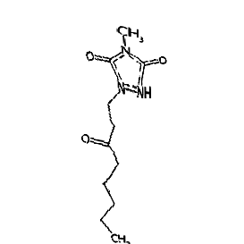 CCCCCC(=O)CCn1[nH]c(=O)n(C)c1=O